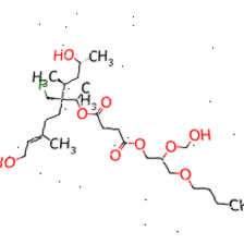 CCCCOCC(COC(=O)CCC(=O)OC(C)[C@](CF)(CC/C(C)=C/CO)[C@@H](C)C[C@@H](C)O)OCO